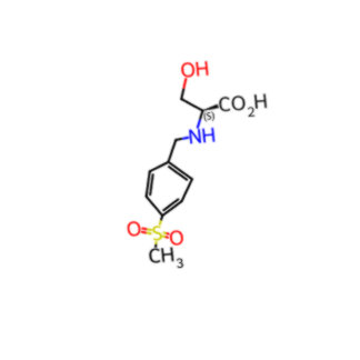 CS(=O)(=O)c1ccc(CN[C@@H](CO)C(=O)O)cc1